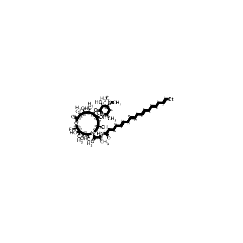 CCC=CCC=CCC=CCC=CCC=CCCCC(=O)N[C@@H](C)C(=O)N1C[C@H](C)C[C@@](C)(O)[C@H](O[C@@H]2O[C@H](C)C[C@H](N(C)C)[C@H]2O)[C@@H](C)[C@H](O)[C@@H](C)C(=O)O[C@H](CC)[C@@](C)(O)[C@H](O)[C@H]1C